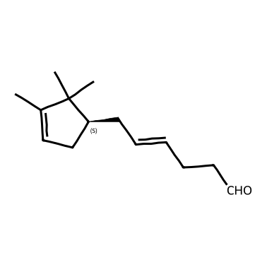 CC1=CC[C@H](CC=CCCC=O)C1(C)C